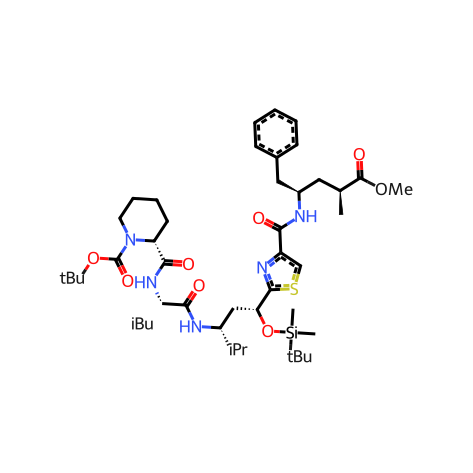 CC[C@H](C)[C@H](NC(=O)[C@H]1CCCCN1C(=O)OC(C)(C)C)C(=O)N[C@H](C[C@@H](O[Si](C)(C)C(C)(C)C)c1nc(C(=O)N[C@@H](Cc2ccccc2)C[C@H](C)C(=O)OC)cs1)C(C)C